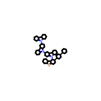 c1ccc(-c2ccc(-c3ccc4sc5ccccc5c4c3-n3c4ccccc4c4cc(-n5c6ccccc6c6cc(-n7c8ccccc8c8ccccc87)ccc65)ccc43)cc2)cc1